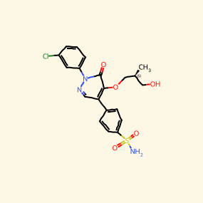 C[C@@H](CO)COc1c(-c2ccc(S(N)(=O)=O)cc2)cnn(-c2cccc(Cl)c2)c1=O